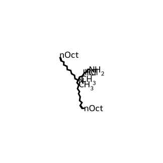 CCCCCCCC/C=C\CCCCCCCCC(CCCCCN)(CCCCCCCC/C=C\CCCCCCCC)N(C)C.Cl.Cl